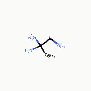 NC[C](N)(N)[GeH3]